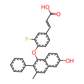 Cc1cc2cc(O)ccc2c(Oc2ccc(/C=C/C(=O)O)cc2F)c1-c1ccccc1